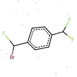 FC(F)c1ccc(C(F)Br)cc1